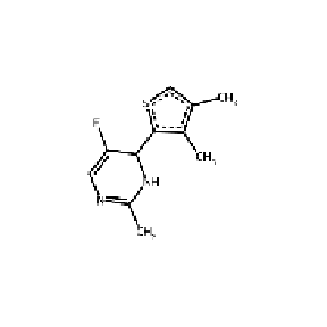 CC1=NC=C(F)C(c2scc(C)c2C)N1